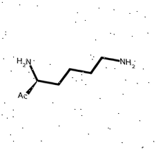 [CH2]C(=O)[C@@H](N)CCCCN